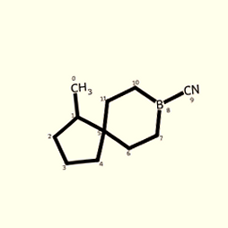 CC1CCCC12CCB(C#N)CC2